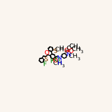 COC1(F)C=C(C(=O)c2cc3cccc(F)c3s2)C(c2ccccc2SC)=CC1(Cl)CNC1CCC(N(C)C(=O)OC(C)(C)C)CC1